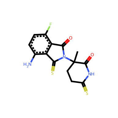 CC1(N2C(=O)c3c(F)ccc(N)c3C2=S)CCC(=S)NC1=O